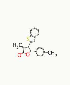 C=C1C(=O)OC(c2ccc(C)cc2)C1c1cc2ccccc2s1